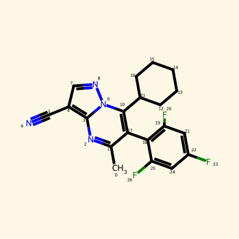 Cc1nc2c(C#N)cnn2c(C2CCCCC2)c1-c1c(F)cc(F)cc1F